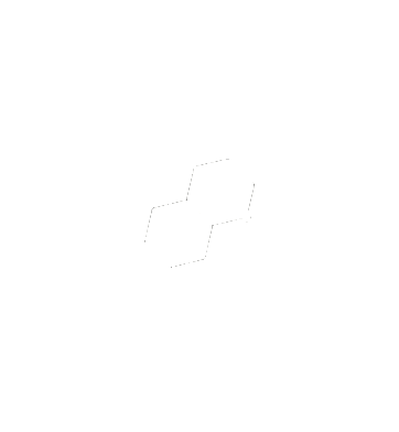 C1=COC2=C(C1)CCCC2